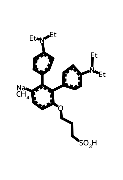 C.CCN(CC)c1ccc(-c2[c]([Na])ccc(OCCCS(=O)(=O)O)c2-c2ccc(N(CC)CC)cc2)cc1